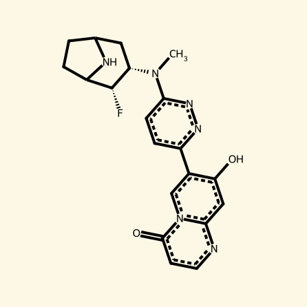 CN(c1ccc(-c2cn3c(=O)ccnc3cc2O)nn1)[C@H]1CC2CCC(N2)[C@H]1F